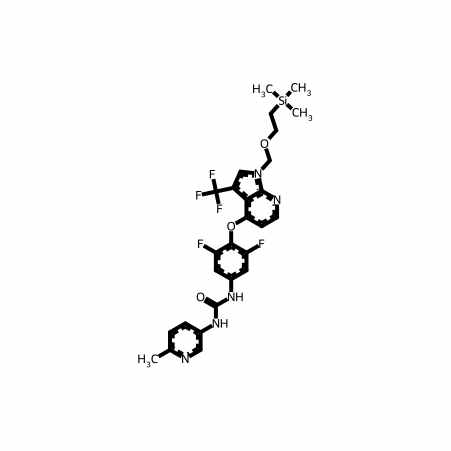 Cc1ccc(NC(=O)Nc2cc(F)c(Oc3ccnc4c3c(C(F)(F)F)cn4COCC[Si](C)(C)C)c(F)c2)cn1